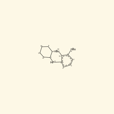 CCCCc1cccc(PC2CCCCC2)c1CCCC